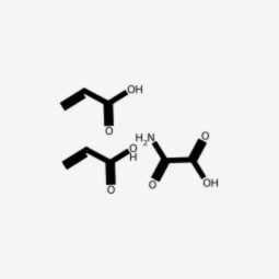 C=CC(=O)O.C=CC(=O)O.NC(=O)C(=O)O